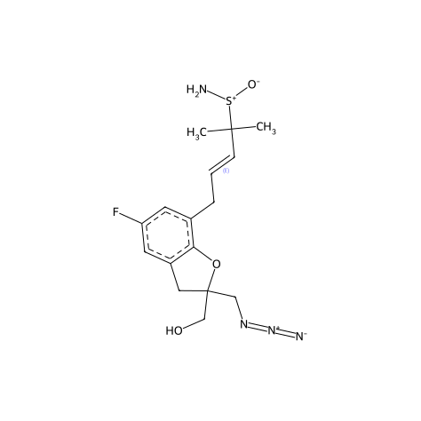 CC(C)(/C=C/Cc1cc(F)cc2c1OC(CO)(CN=[N+]=[N-])C2)[S+](N)[O-]